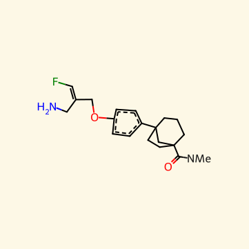 CNC(=O)C12CCCC(c3ccc(OCC(=CF)CN)cc3)(CC1)C2